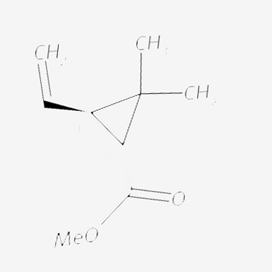 C=C[C@@H]1[C@@H](C(=O)OC)C1(C)C